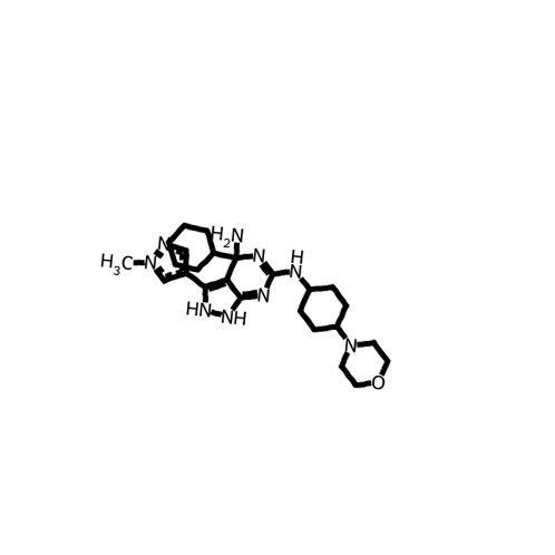 Cn1cc(C2=C3C(=NC(NC4CCC(N5CCOCC5)CC4)=NC3(N)C3CCCCC3)NN2)cn1